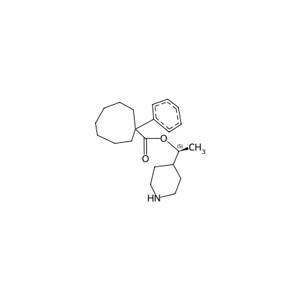 C[C@H](OC(=O)C1(c2ccccc2)CCCCCCC1)C1CCNCC1